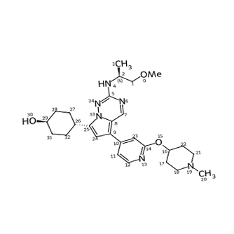 COC[C@H](C)Nc1ncc2c(-c3ccnc(OC4CCN(C)CC4)c3)cc([C@H]3CC[C@H](O)CC3)n2n1